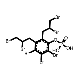 O=P(O)(O)Oc1c(Br)c(Br)c(Br)c(CC(Br)CBr)c1CC(Br)CBr